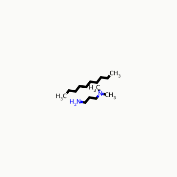 CCCCCCCCCC.CN(C)CCCN